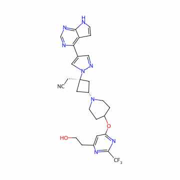 N#CC[C@]1(n2cc(-c3ncnc4[nH]ccc34)cn2)C[C@H](N2CCC(Oc3cc(CCO)nc(C(F)(F)F)n3)CC2)C1